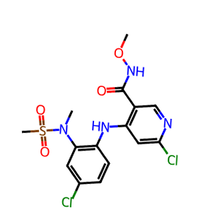 CONC(=O)c1cnc(Cl)cc1Nc1ccc(Cl)cc1N(C)S(C)(=O)=O